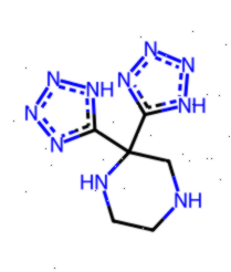 C1CNC(c2nnn[nH]2)(c2nnn[nH]2)CN1